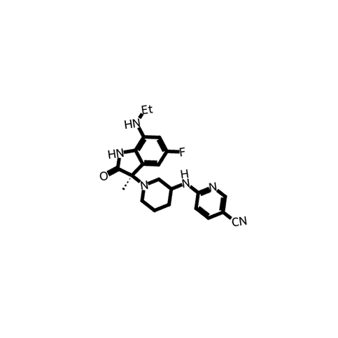 CCNc1cc(F)cc2c1NC(=O)[C@]2(C)N1CCCC(Nc2ccc(C#N)cn2)C1